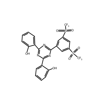 O=S(=O)(c1cc(-c2nc(-c3ccccc3O)nc(-c3ccccc3O)n2)cc(S(=O)(=O)C(F)(F)F)c1)C(F)(F)F